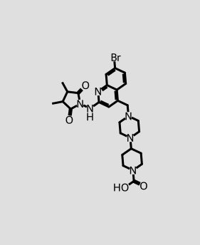 CC1C(=O)N(Nc2cc(CN3CCN(C4CCN(C(=O)O)CC4)CC3)c3ccc(Br)cc3n2)C(=O)C1C